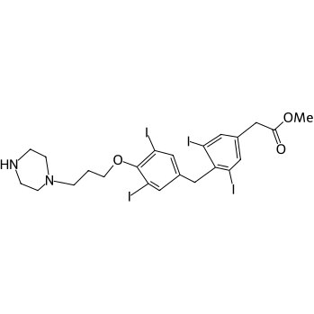 COC(=O)Cc1cc(I)c(Cc2cc(I)c(OCCCN3CCNCC3)c(I)c2)c(I)c1